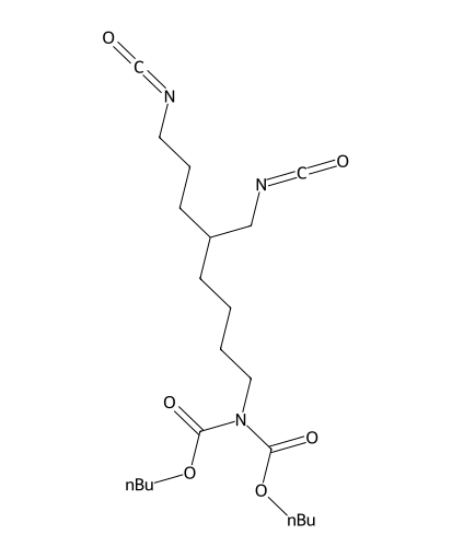 CCCCOC(=O)N(CCCCC(CCCN=C=O)CN=C=O)C(=O)OCCCC